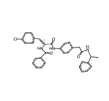 CC(NC(=O)Cc1ccc(NC(=O)/C(=C/c2ccc(Cl)cc2)NC(=O)c2ccccc2)cc1)c1ccccc1